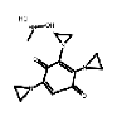 CNO.Cl.O=C1C=C(N2CC2)C(=O)C(N2CC2)=C1N1CC1